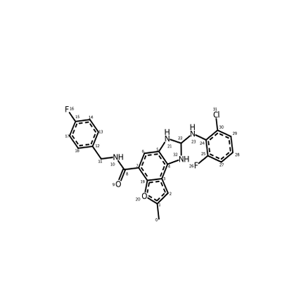 Cc1cc2c3c(cc(C(=O)NCc4ccc(F)cc4)c2o1)NC(Nc1c(F)cccc1Cl)N3